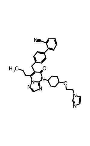 CCCc1c(Cc2ccc(-c3ccccc3C#N)cc2)c(=O)n(C2CCC(OCCn3ccnc3)CC2)c2ncnn12